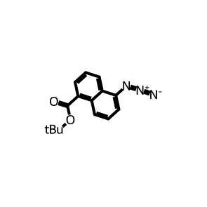 CC(C)(C)OC(=O)c1cccc2c(N=[N+]=[N-])cccc12